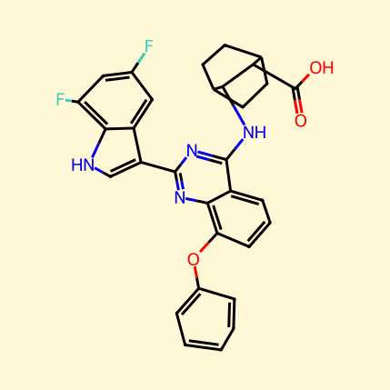 O=C(O)C1C2CCC(CC2)C1Nc1nc(-c2c[nH]c3c(F)cc(F)cc23)nc2c(Oc3ccccc3)cccc12